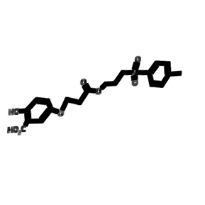 Cc1ccc(S(=O)(=O)CCCOC(=O)CCOc2ccc(O)c(C(=O)O)c2)cc1